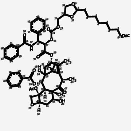 CCCCCCCCCCCCCCCCCC1OCC(COC(=O)O[C@@H](C(=O)O[C@H]2C[C@@]3(O)[C@@H](OC(=O)c4ccccc4)[C@@H]4[C@]5(OC(C)=O)CO[C@@H]5C[C@H](O)[C@@]4(C)C(=O)[C@H](C)C(=C2C)C3(C)C)[C@@H](NC(=O)c2ccccc2)c2ccccc2)O1